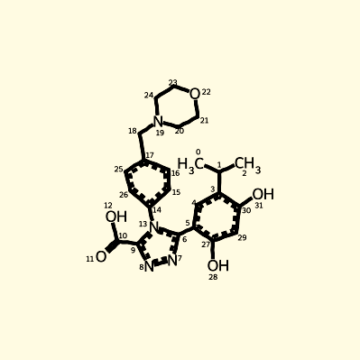 CC(C)c1cc(-c2nnc(C(=O)O)n2-c2ccc(CN3CCOCC3)cc2)c(O)cc1O